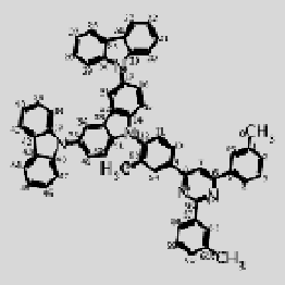 Cc1cccc(-c2cc(-c3ccc(-n4c5ccc(-n6c7ccccc7c7ccccc76)cc5c5cc(-n6c7ccccc7c7ccccc76)ccc54)c(C)c3)nc(-c3cccc(C)c3)n2)c1